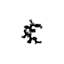 CCOC(=O)[C@@H](NC(=O)[C@H](C)N)C(C)C